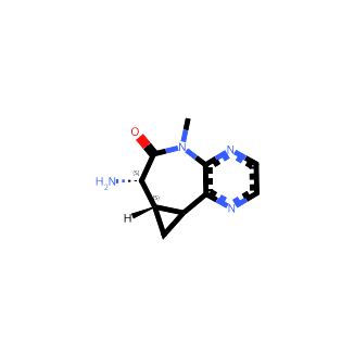 CN1C(=O)[C@@H](N)[C@H]2CC2c2nccnc21